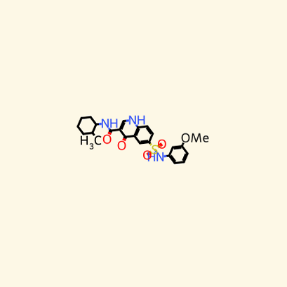 COc1cccc(NS(=O)(=O)c2ccc3[nH]cc(C(=O)NC4CCCCC4C)c(=O)c3c2)c1